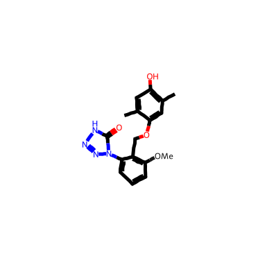 COc1cccc(-n2nn[nH]c2=O)c1COc1cc(C)c(O)cc1C